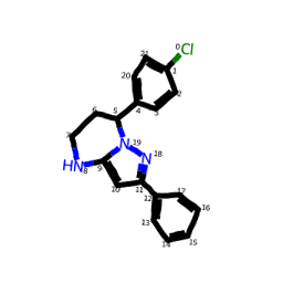 Clc1ccc(C2CCNc3cc(-c4ccccc4)nn32)cc1